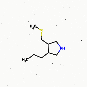 CCCC1CNCC1CSC